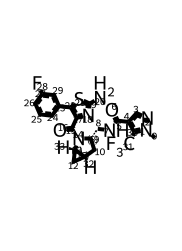 Cn1ncc(C(=O)NC[C@@H]2C[C@@H]3C[C@@H]3N2C(=O)c2nc(N)sc2-c2cccc(F)c2)c1C(F)(F)F